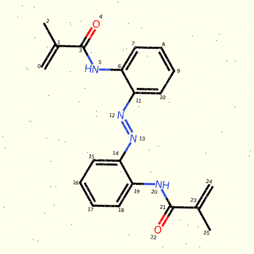 C=C(C)C(=O)Nc1ccccc1N=Nc1ccccc1NC(=O)C(=C)C